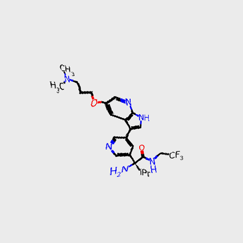 CC(C)[C@](N)(C(=O)NCC(F)(F)F)c1cncc(-c2c[nH]c3ncc(OCCCN(C)C)cc23)c1